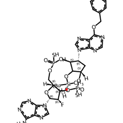 CC(C)(C)[Si](C)(C)OC1[C@@H]2C[C@@H](n3cnc4c(OCc5ccccc5)ncnc43)[C@@H]1OP(=O)(S)OC[C@H]1O[C@@H](n3cnc4c(N)ncnc43)[C@H](F)[C@@H]1OP(=O)(S)O2